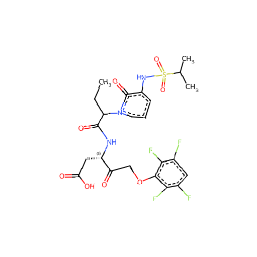 CCC(C(=O)N[C@@H](CC(=O)O)C(=O)COc1c(F)c(F)cc(F)c1F)n1cccc(NS(=O)(=O)C(C)C)c1=O